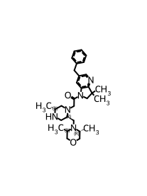 C[C@@H]1CN(CC(=O)N2CC(C)(C)c3ncc(Cc4ccccc4)cc32)[C@@H](CN2[C@H](C)COC[C@H]2C)CN1